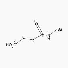 CCC(C)NC(=O)CCC(=O)O